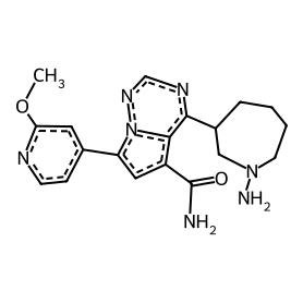 COc1cc(-c2cc(C(N)=O)c3c(C4CCCCN(N)C4)ncnn23)ccn1